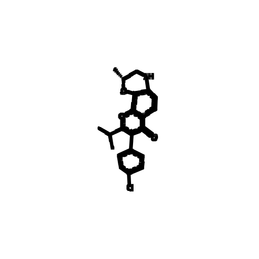 CC(C)c1oc2c3c(ccc2c(=O)c1-c1ccc(Cl)cc1)NC[C@@H](C)O3